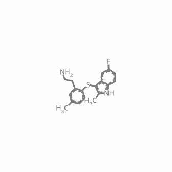 Cc1ccc(Sc2c(C)[nH]c3ccc(F)cc23)c(CCN)c1